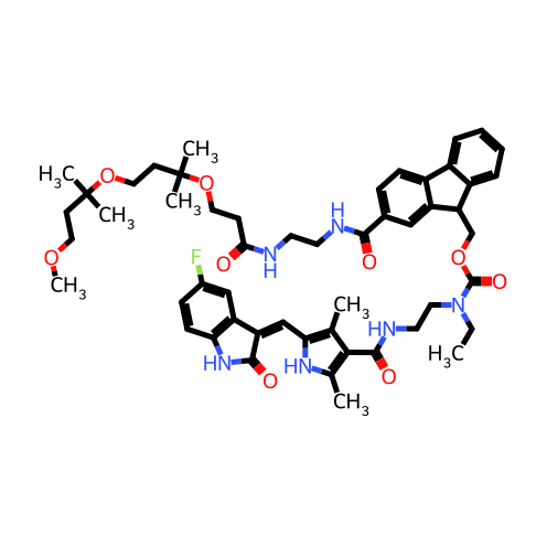 CCN(CCNC(=O)c1c(C)[nH]c(/C=C2\C(=O)Nc3ccc(F)cc32)c1C)C(=O)OCC1c2ccccc2-c2ccc(C(=O)NCCNC(=O)CCOC(C)(C)CCOC(C)(C)CCOC)cc21